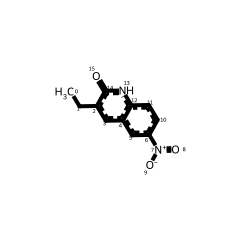 CCc1cc2cc([N+](=O)[O-])ccc2[nH]c1=O